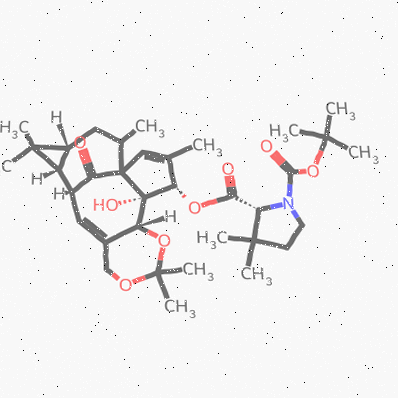 CC1=CC23C(=O)[C@@H](C=C4COC(C)(C)O[C@H]4[C@]2(O)[C@H]1OC(=O)[C@@H]1N(C(=O)OC(C)(C)C)CCC1(C)C)[C@H]1[C@@H](CC3C)C1(C)C